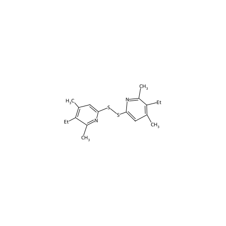 CCc1c(C)cc(SSc2cc(C)c(CC)c(C)n2)nc1C